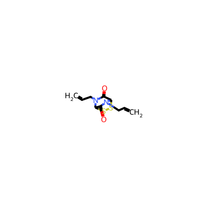 C=CCN1C(=O)C2SSC1C(=O)N2CC=C